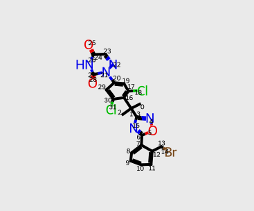 CC(C)(c1noc(-c2ccccc2CBr)n1)c1c(Cl)cc(-n2ncc(=O)[nH]c2=O)cc1Cl